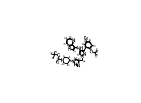 CC(C)(C)OC(=O)N1CCC(n2cc(Cn3cc(Nc4cnn5cccnc45)c(-c4cc(Br)ccc4OC(F)F)n3)nn2)CC1